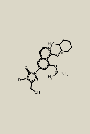 CCn1c(CO)nn(-c2cc(O[C@@H](C)C(F)(F)F)c3c(O[C@@H]4CCCCC4C)nccc3c2)c1=O